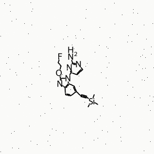 C[Si](C)(C)C#Cc1ccc2nc(OCCF)n(-c3ccnc(N)n3)c2c1